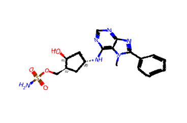 Cn1c(-c2ccccc2)nc2ncnc(N[C@@H]3C[C@@H](COS(N)(=O)=O)[C@@H](O)C3)c21